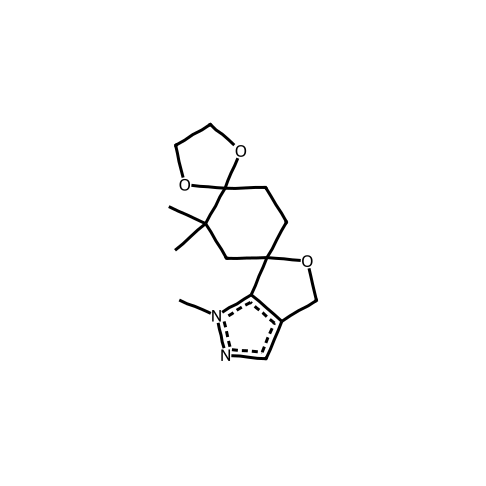 Cn1ncc2c1C1(CCC3(OCCO3)C(C)(C)C1)OC2